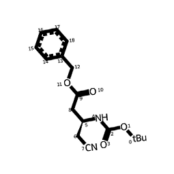 CC(C)(C)OC(=O)N[C@@H](CC#N)CC(=O)OCc1ccccc1